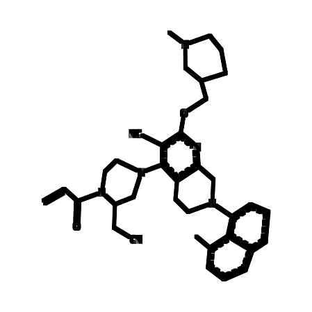 C=CC(=O)N1CCN(c2c(C#N)c(OCC3CCCN(C)C3)nc3c2CCN(c2cccc4cccc(C)c24)C3)CC1CC#N